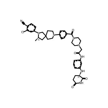 C[C@@H]1CC2(CCN(c3ccc(C(=O)N4CCN(CC(=O)Nc5cccc(N[C@@H]6CCC(=O)NC6=O)c5)CC4)cc3)CC2)CN1c1ccc(C#N)c(Cl)c1